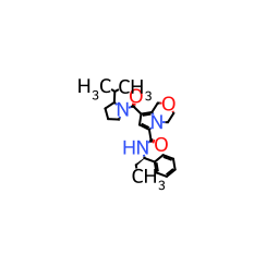 CC[C@@H](NC(=O)c1cc(C(=O)N2CCCC2C(C)C)c2n1CCOC2)c1ccccc1